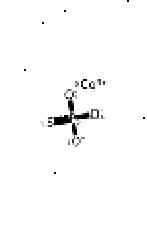 [Co+3].[O-]P([O-])([O-])=S